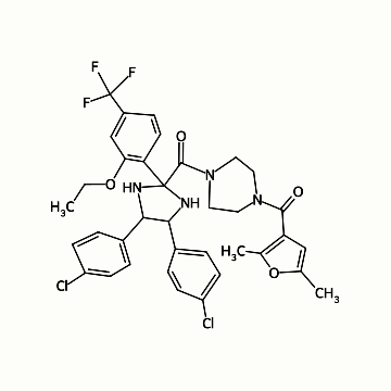 CCOc1cc(C(F)(F)F)ccc1C1(C(=O)N2CCN(C(=O)c3cc(C)oc3C)CC2)NC(c2ccc(Cl)cc2)C(c2ccc(Cl)cc2)N1